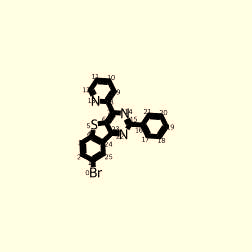 Brc1ccc2sc3c(-c4ccccn4)nc(-c4ccccc4)nc3c2c1